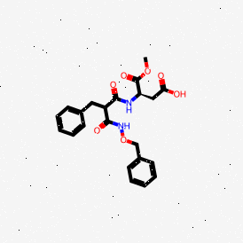 COC(=O)[C@@H](CC(=O)O)NC(=O)C(Cc1ccccc1)C(=O)NOCc1ccccc1